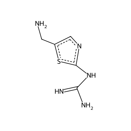 N=C(N)Nc1ncc(CN)s1